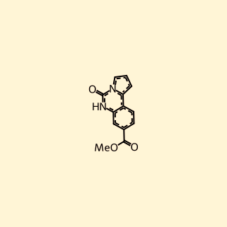 COC(=O)c1ccc2c(c1)[nH]c(=O)n1cccc21